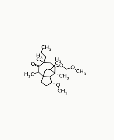 CCC[C@]1(C)C[C@@H](OCOC)[C@@]2(C)C3[C@H](OC)CCC3(CC[C@H]2C)[C@@H](C)C1=O